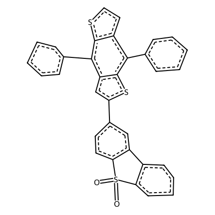 O=S1(=O)c2ccccc2-c2cc(-c3cc4c(-c5ccccc5)c5sccc5c(-c5ccccc5)c4s3)ccc21